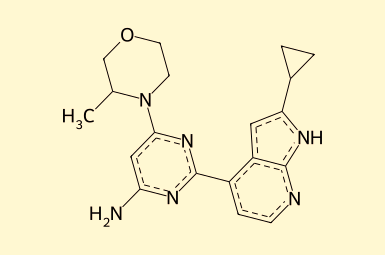 CC1COCCN1c1cc(N)nc(-c2ccnc3[nH]c(C4CC4)cc23)n1